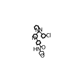 O=C(NC1CCOCC1)c1ccc(-c2cc(-c3c(-c4cccc(Cl)c4)nc4ccccn34)ccn2)cc1